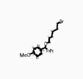 CCCC(OCCCCCCBr)c1ccc(OC)cc1